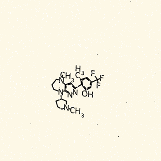 Cc1cc(C(F)(F)F)cc(O)c1-c1cc2c(nn1)N([C@@H]1CCCN(C)C1)CCCN2C